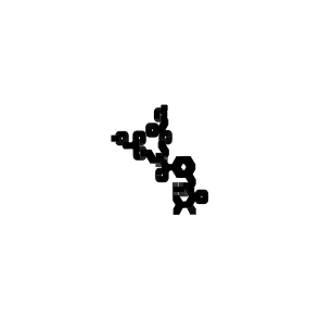 COCC(=O)OCCN(CCOC(=O)COC)C(=O)c1cccc(CNC(=O)[C@@H](C)C(C)C)c1